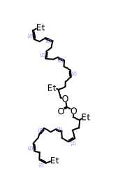 CC/C=C\C/C=C\C/C=C\C/C=C\C/C=C\CCC(CC)COC(=O)OCC(CC)CC/C=C\C/C=C\C/C=C\C/C=C\C/C=C\CC